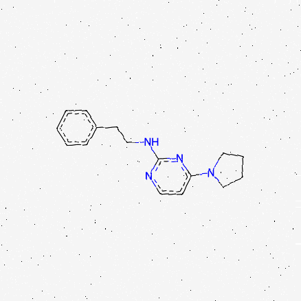 c1ccc(CCNc2nccc(N3CCCC3)n2)cc1